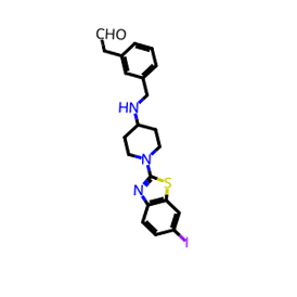 O=CCc1cccc(CNC2CCN(c3nc4ccc(I)cc4s3)CC2)c1